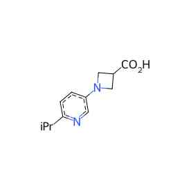 CC(C)c1ccc(N2CC(C(=O)O)C2)cn1